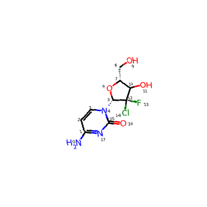 Nc1ccn([C@@H]2O[C@H](CO)C(O)[C@]2(F)Cl)c(=O)n1